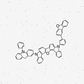 c1ccc(N2c3ccccc3Cc3cc(-n4c5ccccc5c5c6oc7c(ccc8c7c7ccccc7n8-c7cccc(-c8ccc9oc%10ccccc%10c9c8)c7)c6ccc54)ccc32)cc1